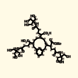 COC(=O)C(CCC(=O)NC(CO)(CO)CO)N1CCN(C(CCC(=O)NC(CO)(CO)CO)C(=O)O)CCN(C(CCC(=O)NC(CO)(CO)CO)C(=O)O)Cc2cccc(n2)C1